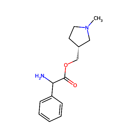 CN1CC[C@@H](COC(=O)C(N)c2ccccc2)C1